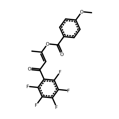 COc1ccc(C(=O)OC(C)=CC(=O)c2c(F)c(F)c(F)c(F)c2F)cc1